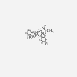 CC(Oc1ncc(C(=O)N[C@@H]2CCCC[C@H]2O)cc1-c1ccc(Cl)cc1)C1CC1